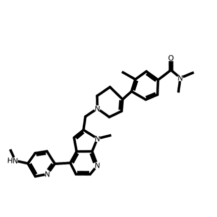 CNc1ccc(-c2ccnc3c2cc(CN2CC=C(c4ccc(C(=O)N(C)C)cc4C)CC2)n3C)nc1